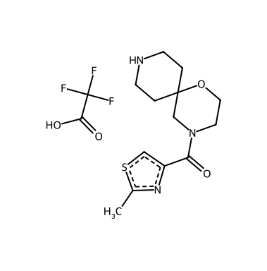 Cc1nc(C(=O)N2CCOC3(CCNCC3)C2)cs1.O=C(O)C(F)(F)F